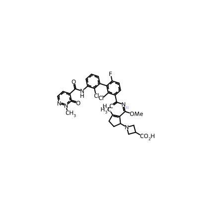 C=C(/N=C(/OC)C1=C(C)CCC1N1CC(C(=O)O)C1)c1ccc(F)c(-c2cccc(NC(=O)c3ccnn(C)c3=O)c2Cl)c1Cl